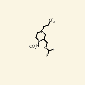 O=C(O)N1CCN(CCC(F)(F)F)CC1COC(F)F